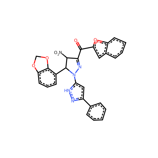 O=C(C1=NN(c2cc(-c3ccccc3)n[nH]2)C(c2cccc3c2OCO3)C1[N+](=O)[O-])c1cc2ccccc2o1